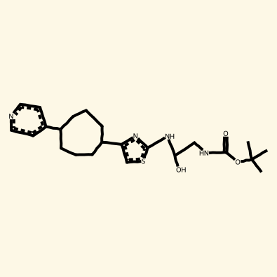 CC(C)(C)OC(=O)NCC(O)Nc1nc(C2CCCC(c3ccncc3)CCC2)cs1